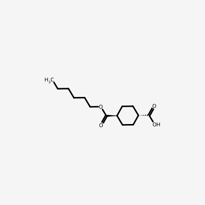 CCCCCCOC(=O)[C@H]1CC[C@H](C(=O)O)CC1